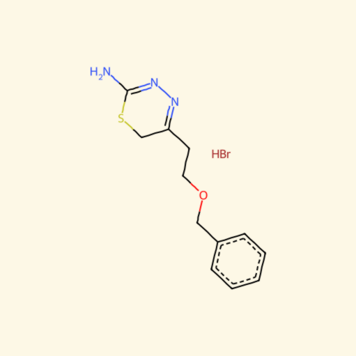 Br.NC1=NN=C(CCOCc2ccccc2)CS1